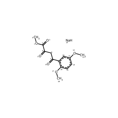 COC(=O)C(=O)CC(=O)c1cc(OC)ccc1OC.[NaH]